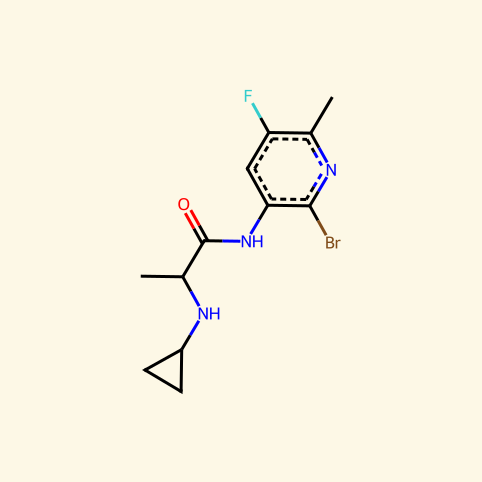 Cc1nc(Br)c(NC(=O)C(C)NC2CC2)cc1F